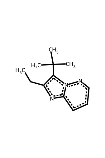 CCc1nc2cccnn2c1C(C)(C)C